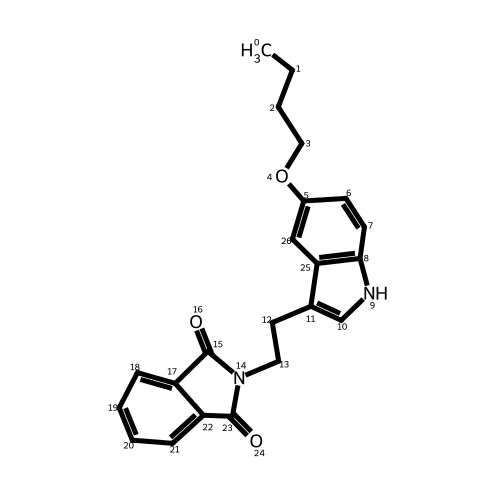 CCCCOc1ccc2[nH]cc(CCN3C(=O)c4ccccc4C3=O)c2c1